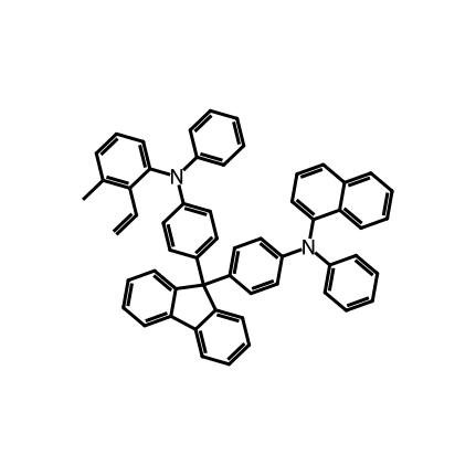 C=Cc1c(C)cccc1N(c1ccccc1)c1ccc(C2(c3ccc(N(c4ccccc4)c4cccc5ccccc45)cc3)c3ccccc3-c3ccccc32)cc1